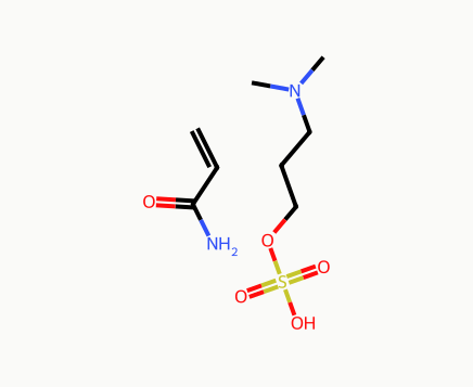 C=CC(N)=O.CN(C)CCCOS(=O)(=O)O